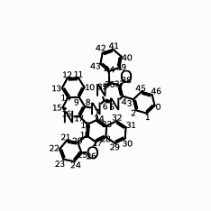 c1ccc(-c2nc(-n3c4c5ccccc5cnc4c4c5c6ccccc6oc5c5ccccc5c43)nc3c2oc2ccccc23)cc1